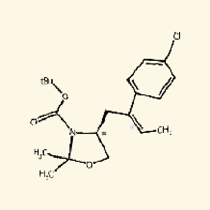 C/C=C(/C[C@H]1COC(C)(C)N1C(=O)OC(C)(C)C)c1ccc(Cl)cc1